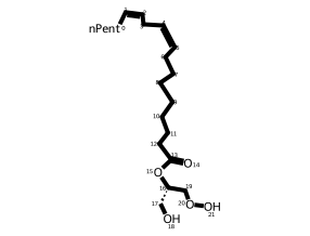 CCCCC/C=C\C/C=C\CCCCCCCC(=O)O[C@@H](CO)COO